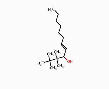 CCCCCCC=CC(O)[Si](C)(C)C(C)(C)C